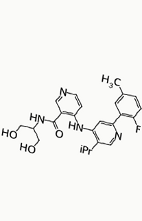 Cc1ccc(F)c(-c2cc(Nc3ccncc3C(=O)NC(CO)CO)c(C(C)C)cn2)c1